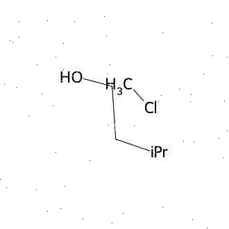 CC(C)CCO.CCl